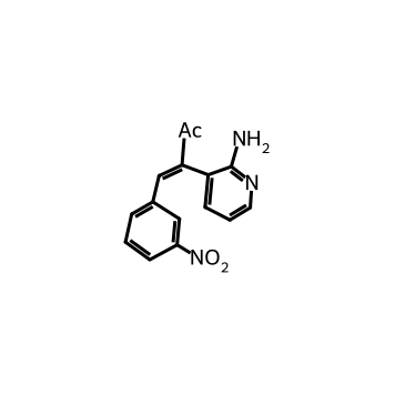 CC(=O)C(=Cc1cccc([N+](=O)[O-])c1)c1cccnc1N